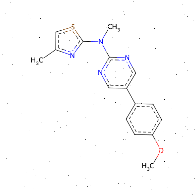 COc1ccc(-c2cnc(N(C)c3nc(C)cs3)nc2)cc1